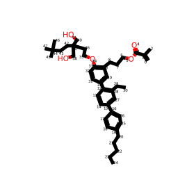 C=C(C)C(=O)OCCCc1cc(-c2ccc(-c3ccc(CCCCC)cc3)cc2CC)ccc1OCCC(CO)(CO)CCC(C)(C)C